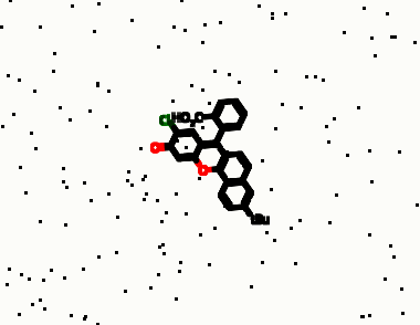 CC(C)(C)c1ccc2c(ccc3c(-c4ccccc4C(=O)O)c4cc(Cl)c(=O)cc-4oc32)c1